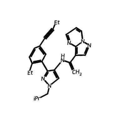 C=C(Nc1cn(CC(C)C)nc1-c1cc(C#CCC)ccc1CC)c1cnn2cccnc12